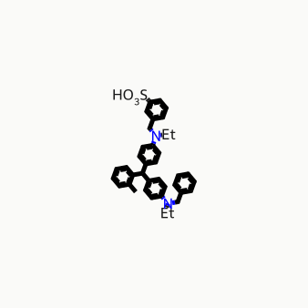 CCN(Cc1ccccc1)c1ccc(C(c2ccc(N(CC)Cc3cccc(S(=O)(=O)O)c3)cc2)c2ccccc2C)cc1